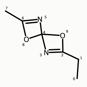 CCC1=NC2(N=C(C)O2)O1